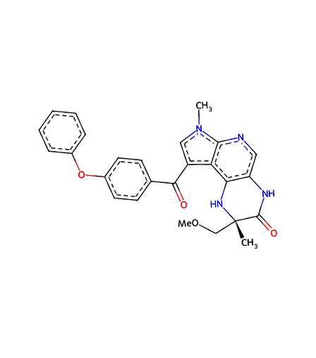 COC[C@]1(C)Nc2c(cnc3c2c(C(=O)c2ccc(Oc4ccccc4)cc2)cn3C)NC1=O